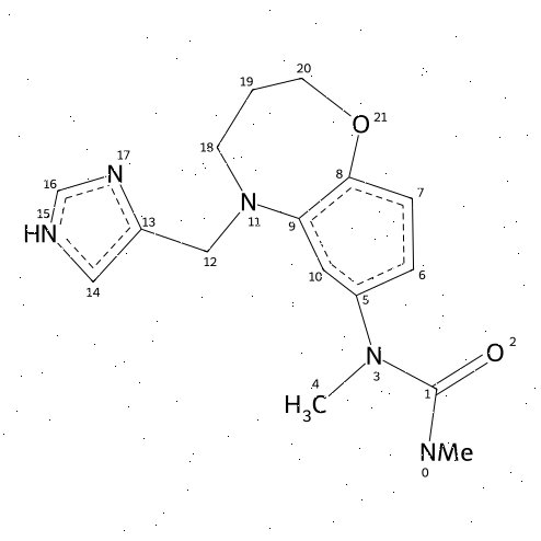 CNC(=O)N(C)c1ccc2c(c1)N(Cc1c[nH]cn1)CCCO2